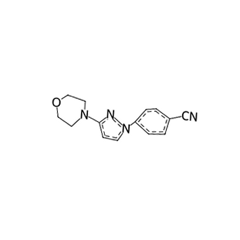 N#Cc1ccc(-n2ccc(N3CCOCC3)n2)cc1